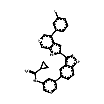 C=C(Nc1cncc(-c2ccc3[nH]nc(-c4cc5c(-c6cccc(F)c6)cncc5[nH]4)c3c2)c1)C1CC1